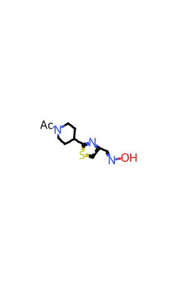 CC(=O)N1CCC(c2nc(C=NO)cs2)CC1